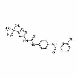 CC(C)(C)c1cc(NC(=O)Nc2ccc(NC(=O)c3cccc(O)n3)cc2)no1